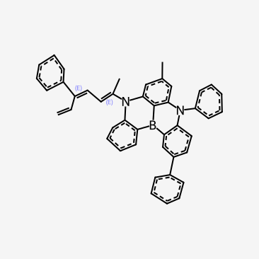 C=C/C(=C\C=C(/C)N1c2ccccc2B2c3cc(-c4ccccc4)ccc3N(c3ccccc3)c3cc(C)cc1c32)c1ccccc1